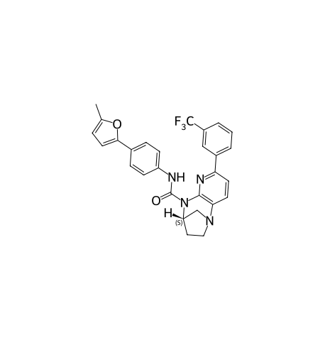 Cc1ccc(-c2ccc(NC(=O)N3c4nc(-c5cccc(C(F)(F)F)c5)ccc4N4CC[C@H]3C4)cc2)o1